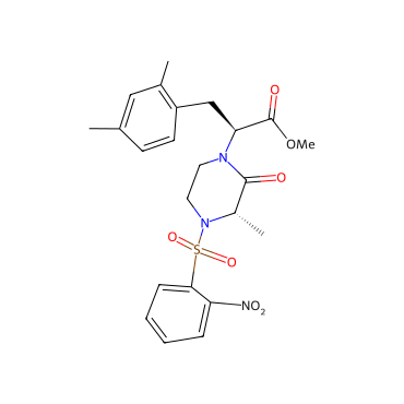 COC(=O)[C@H](Cc1ccc(C)cc1C)N1CCN(S(=O)(=O)c2ccccc2[N+](=O)[O-])[C@@H](C)C1=O